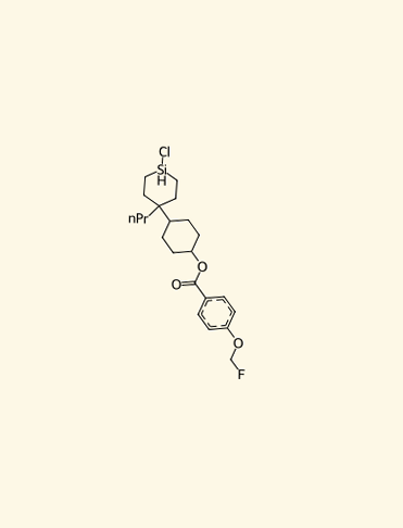 CCCC1(C2CCC(OC(=O)c3ccc(OCF)cc3)CC2)CC[SiH](Cl)CC1